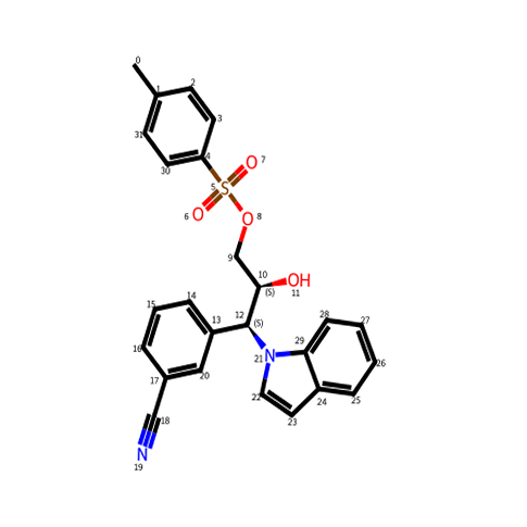 Cc1ccc(S(=O)(=O)OC[C@@H](O)[C@H](c2cccc(C#N)c2)n2ccc3ccccc32)cc1